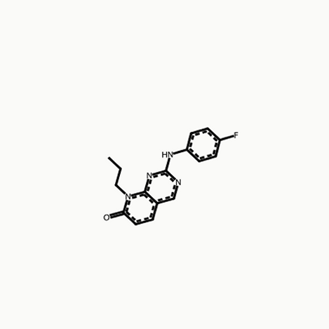 CCCn1c(=O)ccc2cnc(Nc3ccc(F)cc3)nc21